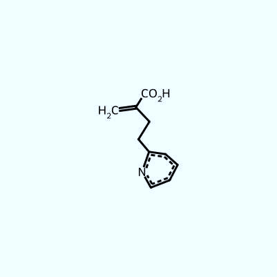 C=C(CCc1ccccn1)C(=O)O